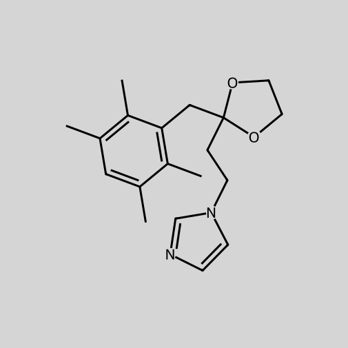 Cc1cc(C)c(C)c(CC2(CCn3ccnc3)OCCO2)c1C